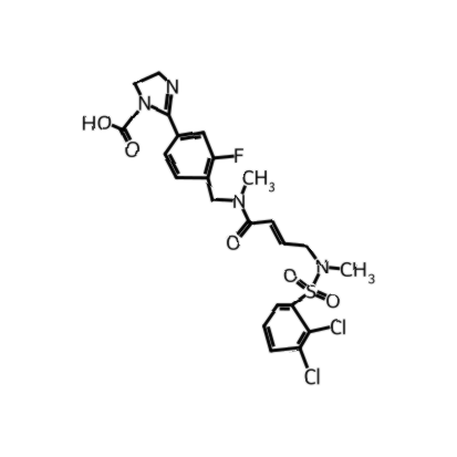 CN(Cc1ccc(C2=NCCN2C(=O)O)cc1F)C(=O)/C=C/CN(C)S(=O)(=O)c1cccc(Cl)c1Cl